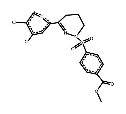 COC(=O)c1ccc(S(=O)(=O)N2CCCC(c3ccc(Cl)c(Cl)c3)=N2)cc1